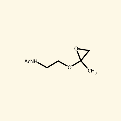 CC(=O)NCCOC1(C)CO1